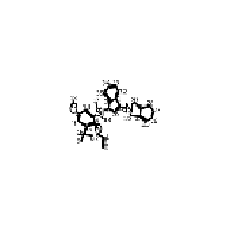 C=CCOc1c(C(C)(C)C)cc(OC)cc1[Si](C)(C)C1C=C(N2CC3=CC=CCC3C2)c2ccccc21